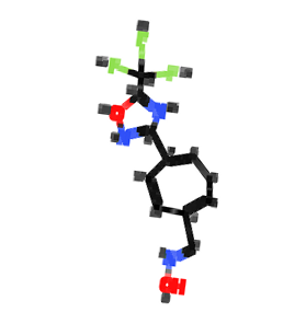 O/N=C/C1=CCC=C(c2noc(C(F)(F)F)n2)C=C1